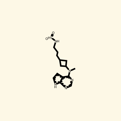 CN(c1ncnc2[nH]ccc12)C1CC(CCCN[SH](=O)=O)C1